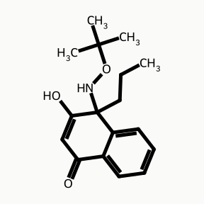 CCCC1(NOC(C)(C)C)C(O)=CC(=O)c2ccccc21